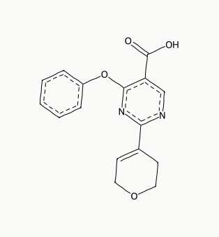 O=C(O)c1cnc(C2=CCOCC2)nc1Oc1ccccc1